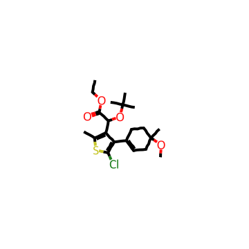 CCOC(=O)C(OC(C)(C)C)c1c(C)sc(Cl)c1C1=CCC(C)(OC)CC1